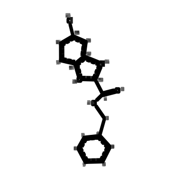 O=C(OCc1ccccc1)c1nc2cc(Cl)ccc2o1